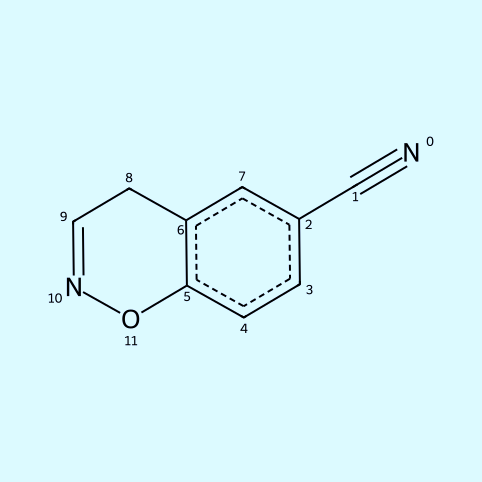 N#Cc1ccc2c(c1)CC=NO2